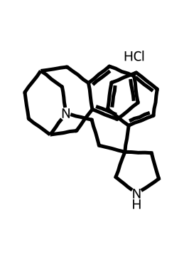 Cl.c1ccc(C2(CCN3CC4CCC3Cc3ccccc3C4)CCNC2)cc1